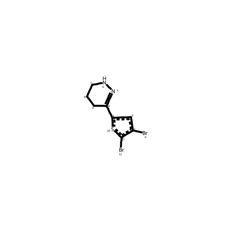 Brc1cc(C2=NNCCC2)sc1Br